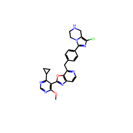 COc1ncnc(C2CC2)c1-c1nc2ccnc(Cc3ccc(-c4nc(Cl)c5n4CCNC5)cc3)c2o1